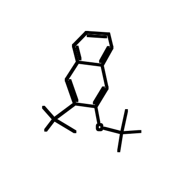 CC(C)(C)Oc1cc2ccccc2cc1C(C)(C)C